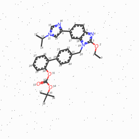 CCOc1nc2ccc(-c3cn(C(C)C)cn3)cc2n1Cc1ccc(-c2ccccc2OC(=O)OC(C)(C)C)cc1